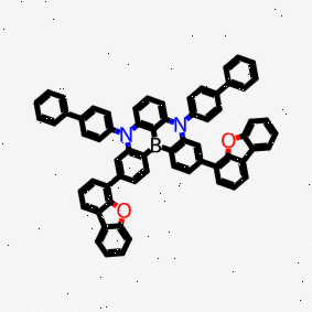 c1ccc(-c2ccc(N3c4cc(-c5cccc6c5oc5ccccc56)ccc4B4c5ccc(-c6cccc7c6oc6ccccc67)cc5N(c5ccc(-c6ccccc6)cc5)c5cccc3c54)cc2)cc1